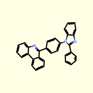 c1ccc(-c2nc3ccccc3n2-c2ccc(-c3nc4ccccc4c4ccccc34)cc2)cc1